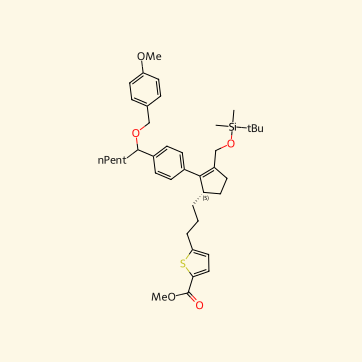 CCCCCC(OCc1ccc(OC)cc1)c1ccc(C2=C(CO[Si](C)(C)C(C)(C)C)CC[C@@H]2CCCc2ccc(C(=O)OC)s2)cc1